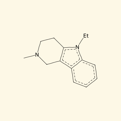 CCn1c2c(c3ccccc31)CN(C)CC2